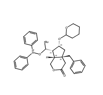 CC(C)(C)C(O[SiH](c1ccccc1)c1ccccc1)[C@H]1[C@H]2COC(=O)C[C@@]2(Cc2ccccc2)C[C@H]1OC1CCCCO1